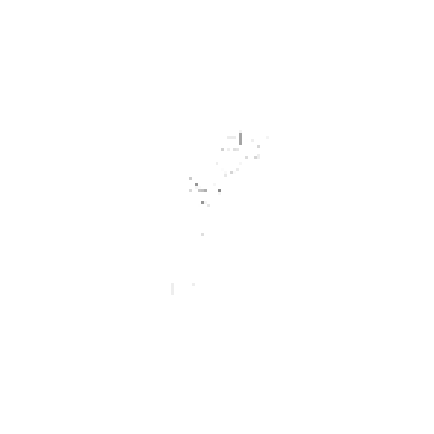 CCCCCCC1CN(c2ccc3[nH]ccc3c2)C(=O)O1